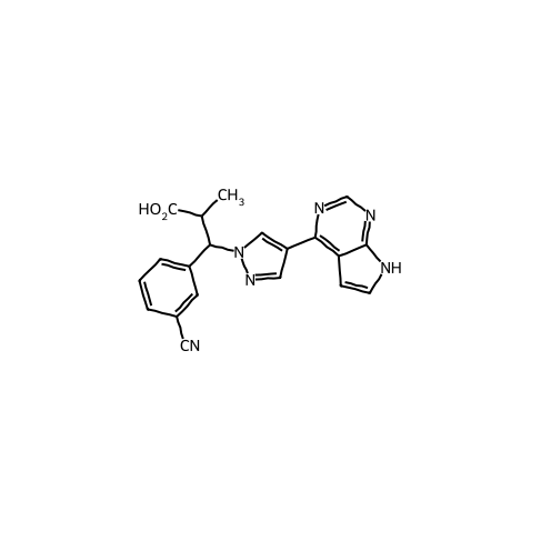 CC(C(=O)O)C(c1cccc(C#N)c1)n1cc(-c2ncnc3[nH]ccc23)cn1